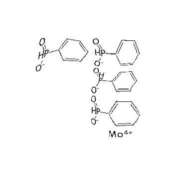 O=[PH]([O-])c1ccccc1.O=[PH]([O-])c1ccccc1.O=[PH]([O-])c1ccccc1.O=[PH]([O-])c1ccccc1.[Mo+4]